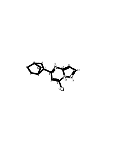 Clc1cc(C2CC3CCC2C3)nc2ccnn12